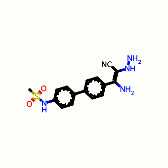 CS(=O)(=O)Nc1ccc(-c2ccc(/C(N)=C(\C#N)NN)cc2)cc1